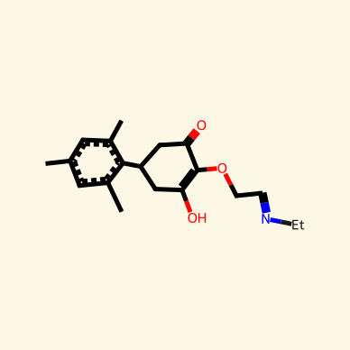 CCN=CCOC1=C(O)CC(c2c(C)cc(C)cc2C)CC1=O